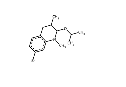 CC(C)OC1C(C)Cc2ccc(Br)cc2N1C